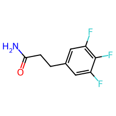 NC(=O)CCc1cc(F)c(F)c(F)c1